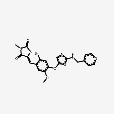 COc1cc(/C=C2\SC(=O)N(C)C2=O)c(Br)cc1Oc1cnc(NCc2ccncc2)s1